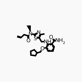 C=CCC(=O)N(c1nc(C)c(CNc2c(OCC3CCCC3)cccc2C(N)=O)s1)C1CC1